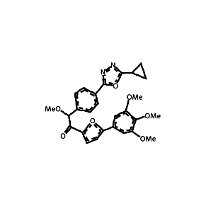 COc1cc(-c2ccc(C(=O)C(OC)c3ccc(-c4nnc(C5CC5)o4)cc3)o2)cc(OC)c1OC